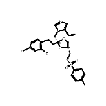 CCc1cncn1C[C@]1(CCc2ccc(Cl)cc2Cl)OC[C@H](COS(=O)(=O)c2ccc(C)cc2)O1